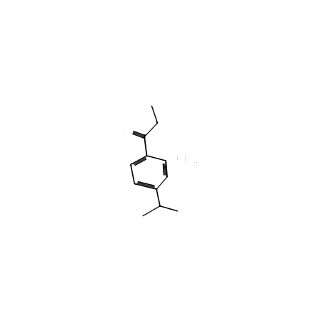 C.CCC(=O)c1ccc(C(C)C)cc1